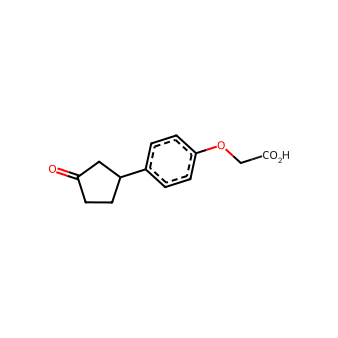 O=C(O)COc1ccc(C2CCC(=O)C2)cc1